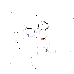 CSc1nccc(-c2ccccc(OC(=O)OC(C)(C)C)c2=O)n1